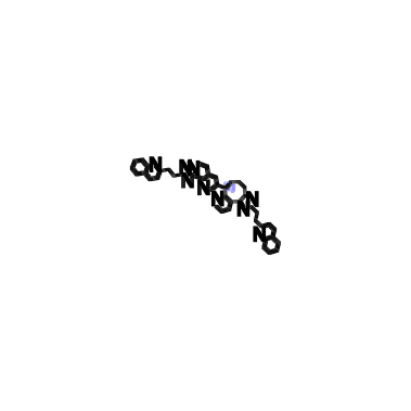 C1=C(/c2cnc3c(ccn4nc(CCc5ccc6ccccc6n5)nc34)c2)c2ncccc2C2=NC(CCc3ccc4ccccc4n3)=NC2CC/1